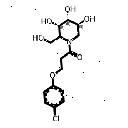 O=C(CCOc1ccc(Cl)cc1)N1C[C@H](O)[C@@H](O)[C@H](O)C1CO